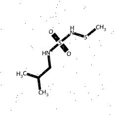 CSNS(=O)(=O)NCC(C)C